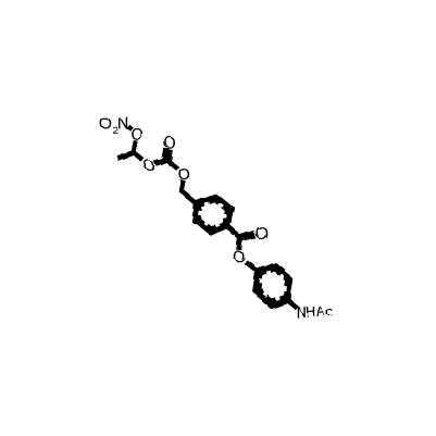 CC(=O)Nc1ccc(OC(=O)c2ccc(COC(=O)OC(C)O[N+](=O)[O-])cc2)cc1